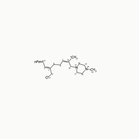 CCCCC/C=C(/CCl)CC/C=C(/C)CN1CCN(C)CC1